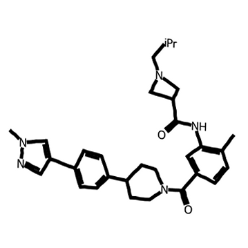 Cc1ccc(C(=O)N2CCC(c3ccc(-c4cnn(C)c4)cc3)CC2)cc1NC(=O)C1CN(CC(C)C)C1